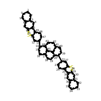 c1ccc2cc3c(cc2c1)sc1cc(-c2ccc4ccc5c(-c6ccc7c(c6)sc6cc8ccccc8cc67)ccc6ccc2c4c65)ccc13